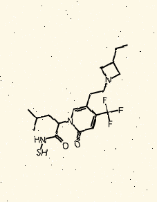 CCC1CN(CCc2cn(C(CC(C)C)C(=O)NS)c(=O)cc2C(F)(F)F)C1